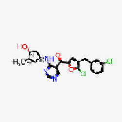 [CH2][C@@H]1C[C@@H](Nc2ncncc2C(=O)c2cc(Cc3cccc(Cl)c3)c(Cl)o2)C[C@@H]1O